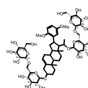 COc1ccc(OC)c(C2CC3C4CC=C5CC(OC6O[C@H](CO[C@H]7O[C@H](CO)[C@@H](O)[C@H](O)[C@H]7O)[C@@H](O)[C@H](O)[C@H]6O)CCC5(C)C4CCC3(C)C2C(C)OC2O[C@H](CO[C@H]3O[C@H](CO)[C@@H](O)[C@H](O)[C@H]3O)[C@@H](O)[C@H](O)[C@H]2O)c1